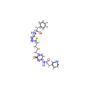 O=C(Cc1cccnc1)Nc1ccn(CCCCc2nnc(NC(=O)Cc3ccccc3)s2)c(=O)n1